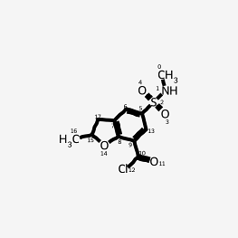 CNS(=O)(=O)c1cc2c(c(C(=O)Cl)c1)OC(C)C2